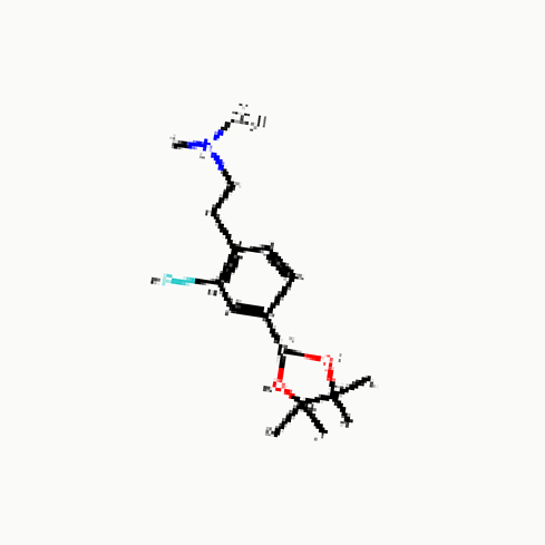 CN(CCc1ccc(B2OC(C)(C)C(C)(C)O2)cc1F)C(=O)O